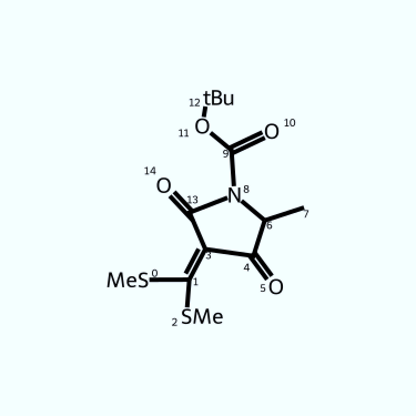 CSC(SC)=C1C(=O)C(C)N(C(=O)OC(C)(C)C)C1=O